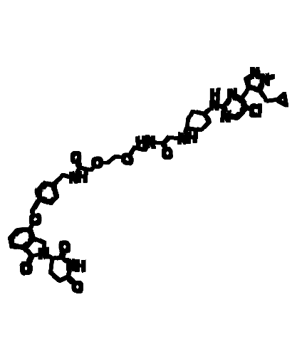 Cn1ncc(-c2nc(NC3CCC(NCC(=O)NCCOCCOCC(=O)NCc4ccc(COc5cccc6c5CN(C5CCC(=O)NC5=O)C6=O)cc4)CC3)ncc2Cl)c1CC1CC1